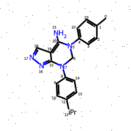 Cc1ccc(N2CN(c3ccc(C(C)C)cc3)C3=NN=CC3=C2N)cc1